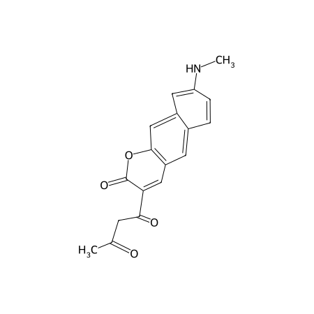 CNc1ccc2cc3cc(C(=O)CC(C)=O)c(=O)oc3cc2c1